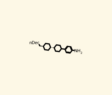 CCCCCCCCCCC[C@H]1CC[C@H](C2CCC(c3ccc(N)cc3)CC2)CC1